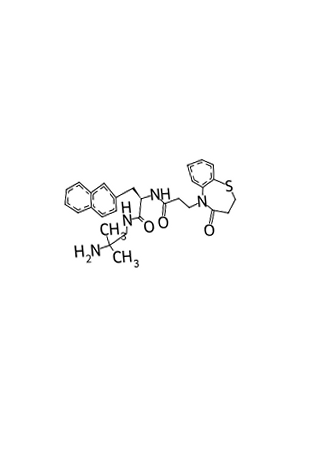 CC(C)(N)CNC(=O)[C@@H](Cc1ccc2ccccc2c1)NC(=O)CCN1C(=O)CCSc2ccccc21